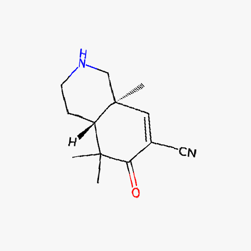 CC1(C)C(=O)C(C#N)=C[C@]2(C)CNCC[C@@H]12